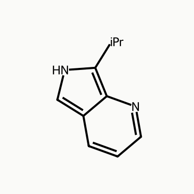 CC(C)c1[nH]cc2cccnc12